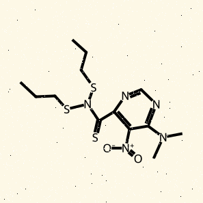 CCCSN(SCCC)C(=S)c1ncnc(N(C)C)c1[N+](=O)[O-]